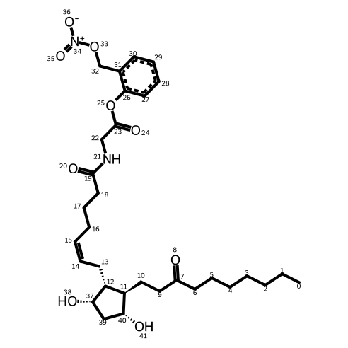 CCCCCCCC(=O)CC[C@@H]1[C@@H](C/C=C\CCCC(=O)NCC(=O)Oc2ccccc2CO[N+](=O)[O-])[C@@H](O)C[C@H]1O